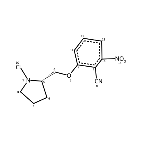 N#Cc1c(OC[C@@H]2CCCN2Cl)cccc1[N+](=O)[O-]